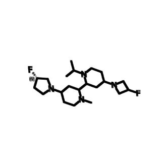 CC(C)N1CCC(N2CC(F)C2)CC1C1CC(N2CC[C@H](F)C2)CCN1C